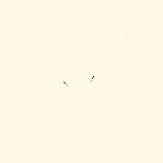 C=C1C(=O)O[C@H](c2ccc(OC)cc2)[C@@H]1c1ccc(Br)cc1